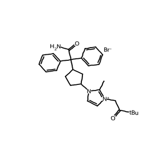 Cc1n(C2CCC(C(C(N)=O)(c3ccccc3)c3ccccc3)C2)cc[n+]1CC(=O)C(C)(C)C.[Br-]